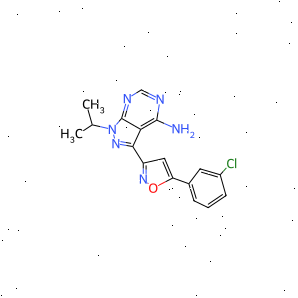 CC(C)n1nc(-c2cc(-c3cccc(Cl)c3)on2)c2c(N)ncnc21